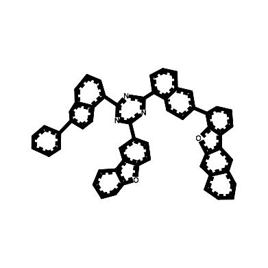 c1ccc(-c2ccc3c(-c4nc(-c5ccc6oc7ccccc7c6c5)nc(-c5cccc6cc(-c7cccc8c7oc7cc9ccccc9cc78)ccc56)n4)cccc3c2)cc1